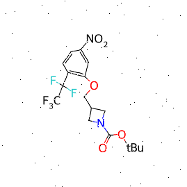 CC(C)(C)OC(=O)N1CC(COc2cc([N+](=O)[O-])ccc2C(F)(F)C(F)(F)F)C1